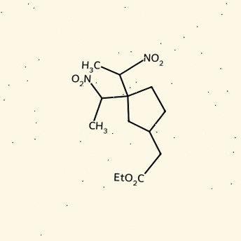 CCOC(=O)CC1CCC(C(C)[N+](=O)[O-])(C(C)[N+](=O)[O-])C1